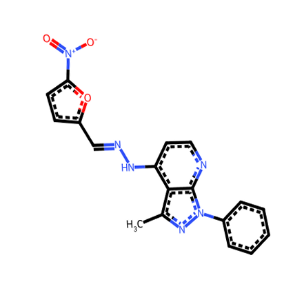 Cc1nn(-c2ccccc2)c2nccc(NN=Cc3ccc([N+](=O)[O-])o3)c12